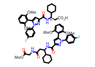 COC(=O)CNC(=O)CC(NC(=O)c1cc(-c2c(OC)cccc2OC)n(-c2ccc(F)cc2)n1)C1CCCCC1.COc1cccc(OC)c1-c1cc(C(=O)N[C@H](CC(=O)O)C2CCCCC2)nn1-c1ccc(F)cc1